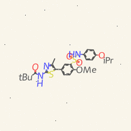 COc1ccc(-c2sc(NC(=O)C(C)(C)C)nc2C)cc1S(=O)(=O)Nc1ccc(OC(C)C)cc1